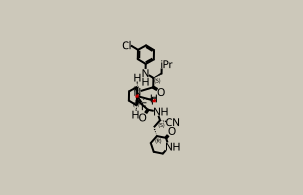 CC(C)C[C@H](Nc1cccc(Cl)c1)C(=O)N1[C@@H]2CC[C@H]([C@@H]1C(=O)N[C@H](C#N)C[C@H]1CCCNC1=O)C(F)(F)C2